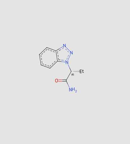 CC[C@H](C(N)=O)n1nnc2ccccc21